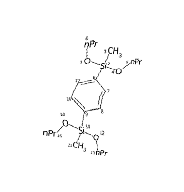 CCCO[Si](C)(OCCC)c1ccc([Si](C)(OCCC)OCCC)cc1